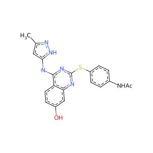 CC(=O)Nc1ccc(Sc2nc([N]c3cc(C)n[nH]3)c3ccc(O)cc3n2)cc1